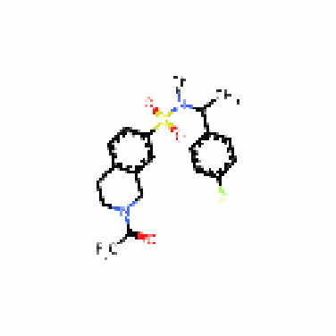 CCN(C(C)c1ccc(F)cc1)S(=O)(=O)c1ccc2c(c1)CN(C(=O)C(F)(F)F)CC2